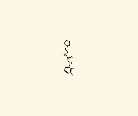 Cc1cccc(OCC(=S)NCCN2CCCC2)c1C